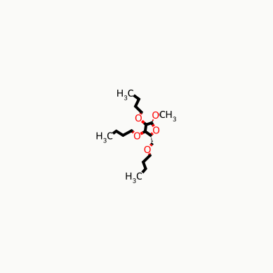 CCCCOC[C@H]1O[C@@H](OC)C(OCCCC)C1OCCCC